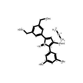 CCCCCCCCCCCc1cc(CCCCCCCCCCC)cc(C2=CC(CCCCC)=C(c3cc(CCCC)cc(CCCC)c3)[N+]2=[N-])c1.[CH3][Ni][CH3]